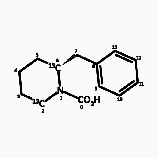 O=C(O)N1[13CH2]CCC[13C@@H]1Cc1ccccc1